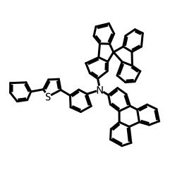 c1ccc(-c2ccc(-c3cccc(N(c4ccc5c(c4)C4(c6ccccc6-c6ccccc64)c4ccccc4-5)c4ccc5c6ccccc6c6ccccc6c5c4)c3)s2)cc1